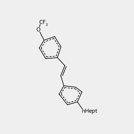 CCCCCCCc1ccc(/C=C/c2ccc(OC(F)(F)F)cc2)cc1